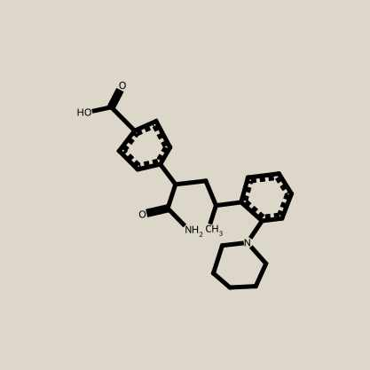 CC(CC(C(N)=O)c1ccc(C(=O)O)cc1)c1ccccc1N1CCCCC1